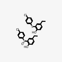 CCc1ccc(O)c(Sc2ccc(Cl)cc2)c1.CCc1ccc(O)c([S+]([O-])c2ccc(Cl)cc2)c1